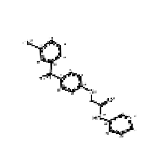 O=C(COc1ccc(C(=O)c2cccc(Cl)c2)cc1)Nc1cccnc1